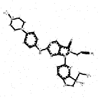 C=CCn1c(=O)c2cnc(Nc3ccc(N4CCN(C)CC4)cc3)nc2n1-c1ccc2c(n1)[C@@](O)(CC)CO2